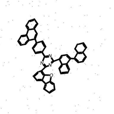 C1=Cc2cccc(-c3ccc(-c4nc(-c5ccc(-c6cc7ccccc7c7ccccc67)cc5)nc(-c5cccc6c5oc5ccccc56)n4)c4ccccc34)c2CC1